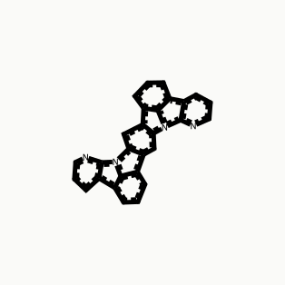 c1cnc2c(c1)c1cccc3c4cc5c(cc4n2c31)c1cccc2c3cccnc3n5c12